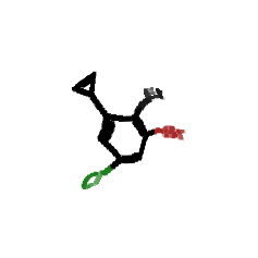 CCc1c(Br)cc(Cl)cc1C1C=C1